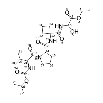 CCOC(=O)C(O)NC(=O)C1(NC(=O)[C@@H]2CCCN2C(=O)[C@@H](NC(=O)OC(C)C)C(C)C)CCC1